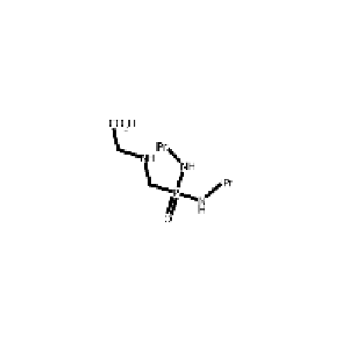 CC(C)NP(=O)(CNCC(=O)O)NC(C)C